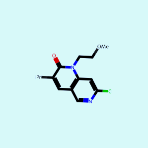 COCCn1c(=O)c(C(C)C)cc2cnc(Cl)cc21